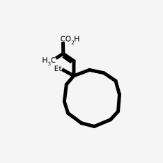 CCC1(C=C(C)C(=O)O)CCCCCCCCCCC1